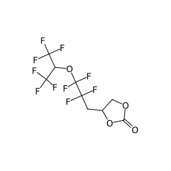 O=C1OCC(CC(F)(F)C(F)(F)OC(C(F)(F)F)C(F)(F)F)O1